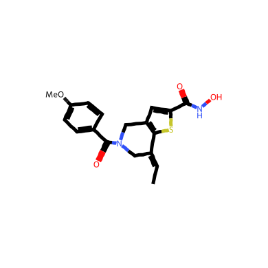 C/C=C1\CN(C(=O)c2ccc(OC)cc2)Cc2cc(C(=O)NO)sc21